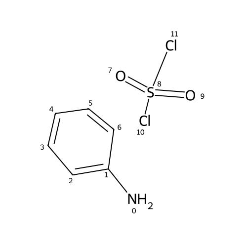 Nc1ccccc1.O=S(=O)(Cl)Cl